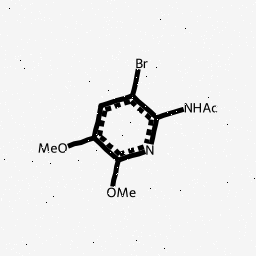 COc1cc(Br)c(NC(C)=O)nc1OC